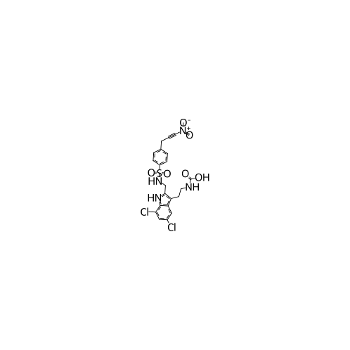 O=C(O)NCCc1c(CNS(=O)(=O)c2ccc(CC#C[N+](=O)[O-])cc2)[nH]c2c(Cl)cc(Cl)cc12